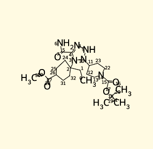 CCC1(N2C(C(N)=O)=NNN2C2CCN(C(=O)OC(C)(C)C)CC2)CCC(C(=O)OC)CC1